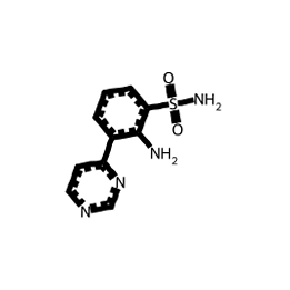 Nc1c(-c2ccncn2)cccc1S(N)(=O)=O